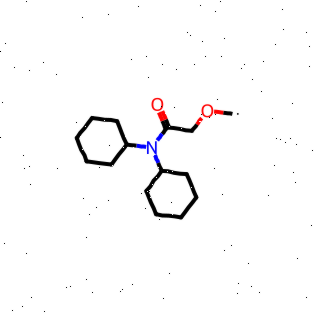 [CH2]OCC(=O)N(C1CCCCC1)C1CCCCC1